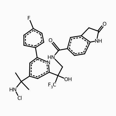 CC(C)(NCl)c1cc(-c2ccc(F)cc2)nc(C(O)(CNC(=O)c2ccc3c(c2)CC(=O)N3)C(F)(F)F)c1